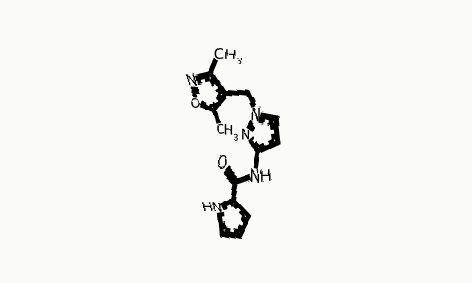 Cc1noc(C)c1Cn1ccc(NC(=O)c2ccc[nH]2)n1